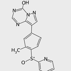 Cc1cc(-c2cnn3c(O)ncnc23)ccc1[S+]([O-])c1ccccn1